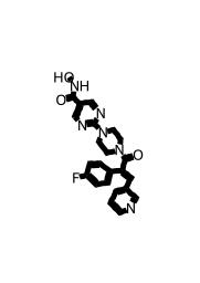 O=C(NO)c1cnc(N2CCN(C(=O)C(=Cc3cccnc3)c3ccc(F)cc3)CC2)nc1